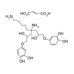 NCCCCCC(N)(CC(O)COc1ccc(O)c(O)c1)CC(O)COc1ccc(O)c(O)c1.O=C(O)/C=C/C(=O)O